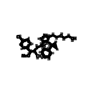 COC(c1ncc(Cl)cn1)C(C)SNc1nnc(CCOCCO)n1C1(c2cccnc2)CC1